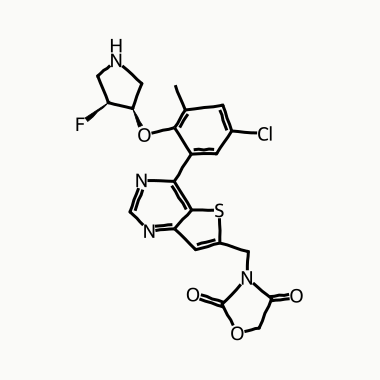 Cc1cc(Cl)cc(-c2ncnc3cc(CN4C(=O)COC4=O)sc23)c1O[C@@H]1CNC[C@@H]1F